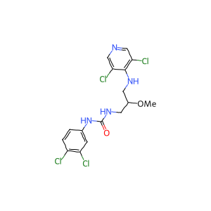 COC(CNC(=O)Nc1ccc(Cl)c(Cl)c1)CNc1c(Cl)cncc1Cl